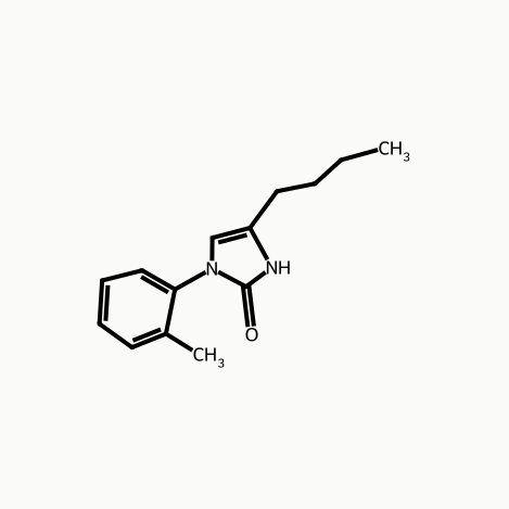 CCCCc1cn(-c2ccccc2C)c(=O)[nH]1